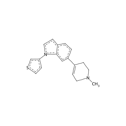 CN1CC=C(c2ccc3ccn(-c4ccsc4)c3c2)CC1